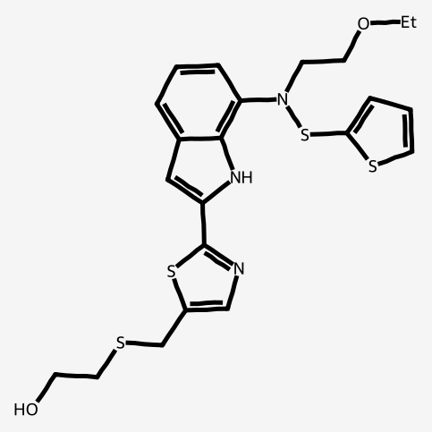 CCOCCN(Sc1cccs1)c1cccc2cc(-c3ncc(CSCCO)s3)[nH]c12